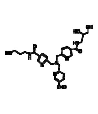 O=Cc1ccc(CN(Cc2ccc(C(=O)NCCCO)cn2)Cc2ccc(C(=O)NCC(O)CO)cn2)nc1